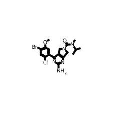 COc1cc(-c2nc(N)nc3c2CN(C(=O)N(C)C(C)C)C3)c(Cl)cc1Br